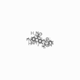 CCNc1ccc(C(c2ccc(C)c(CN3C[C@@H](CC)Oc4ncccc4[S+]3[O-])c2)C(C)(C)C(N)=O)c(C)c1N